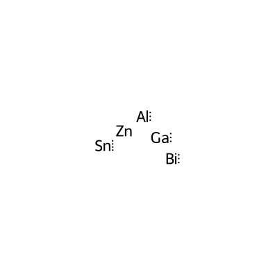 [Al].[Bi].[Ga].[Sn].[Zn]